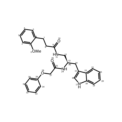 COc1ccccc1CCC(=O)NC[C@@H](Cc1c[nH]c2ccccc12)NC(=O)COc1ccccc1